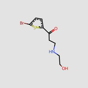 O=C(CCNCCO)c1ccc(Br)s1